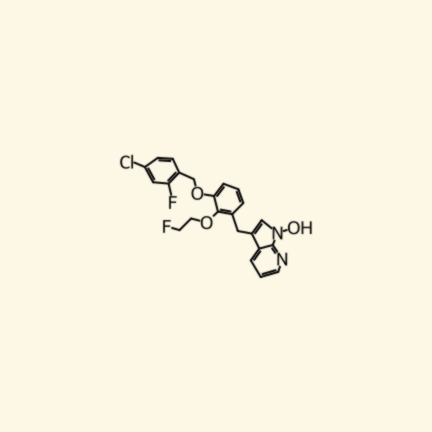 On1cc(Cc2cccc(OCc3ccc(Cl)cc3F)c2OCCF)c2cccnc21